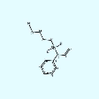 C=CC(c1ccccc1)[N+](C)(C)CCCCC